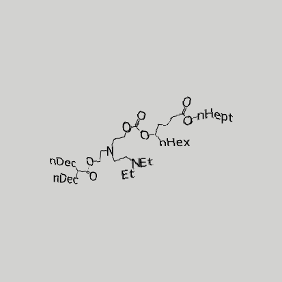 CCCCCCCCCCC(CCCCCCCCCC)C(=O)OCCN(CCOC(=O)OC(CCCCCC)CCCC(=O)OCCCCCCC)CCN(CC)CC